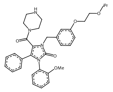 COc1ccccc1-n1c(-c2ccccc2)c(C(=O)N2CCNCC2)n(Cc2cccc(OCCOC(C)C)c2)c1=O